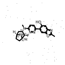 Cc1nc2cc(O)c(-c3ccc(N(C)[C@H]4C[C@@H]5CC[C@@H](N5)[C@@H]4F)nn3)cc2o1